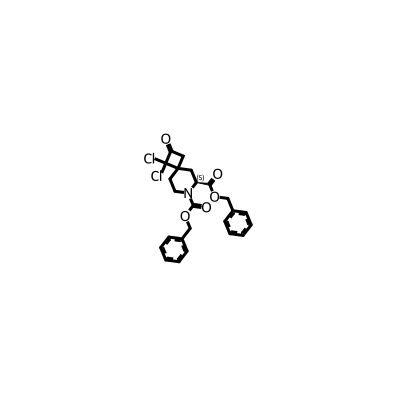 O=C(OCc1ccccc1)[C@@H]1CC2(CCN1C(=O)OCc1ccccc1)CC(=O)C2(Cl)Cl